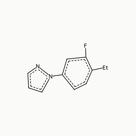 [CH2]Cc1ccc(-n2cccn2)cc1F